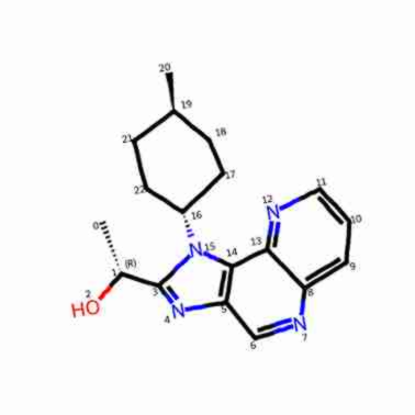 C[C@@H](O)c1nc2cnc3cccnc3c2n1[C@H]1CC[C@H](C)CC1